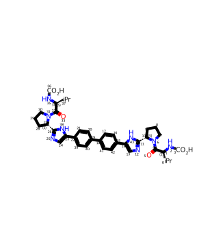 CC(C)[C@H](NC(=O)O)C(=O)N1CCC[C@H]1c1ncc(-c2ccc(-c3ccc(-c4cnc([C@@H]5CCCN5C(=O)[C@@H](NC(=O)O)C(C)C)[nH]4)cc3)cc2)[nH]1